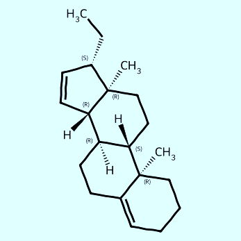 CC[C@H]1C=C[C@H]2[C@@H]3CCC4=CCCC[C@]4(C)[C@H]3CC[C@]12C